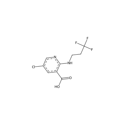 O=C(O)c1cc(Cl)cnc1NCCC(F)(F)F